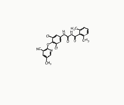 Cc1cnc(Oc2c(Cl)cc(NC(=O)NC(=O)c3c(C)cccc3C)cc2Cl)c(C#N)c1